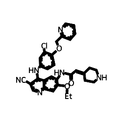 CCOc1cc2ncc(C#N)c(Nc3ccc(OCc4ccccn4)c(Cl)c3)c2cc1NC(=O)C=C1CCNCC1